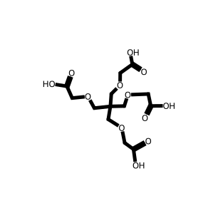 O=C(O)COCC(COCC(=O)O)(COCC(=O)O)COCC(=O)O